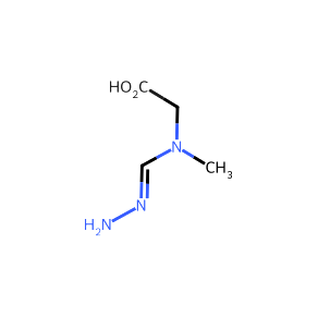 CN(C=NN)CC(=O)O